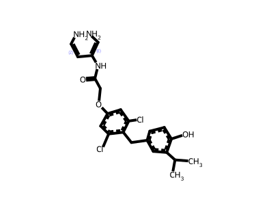 CC(C)c1cc(Cc2c(Cl)cc(OCC(=O)NC(/C=C\N)=C/N)cc2Cl)ccc1O